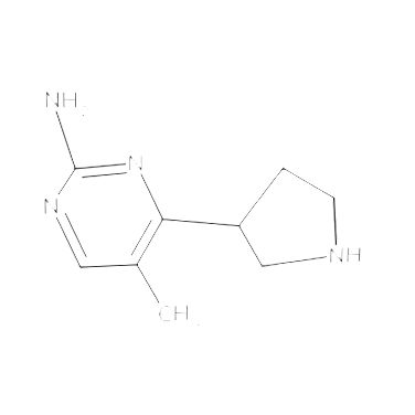 Cc1cnc(N)nc1C1CCNC1